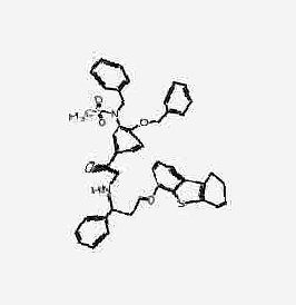 CS(=O)(=O)N(Cc1ccccc1)c1cc(C(=O)CNC(CCOc2cccc3c4c(sc23)CCCC4)c2ccccc2)ccc1OCc1ccccc1